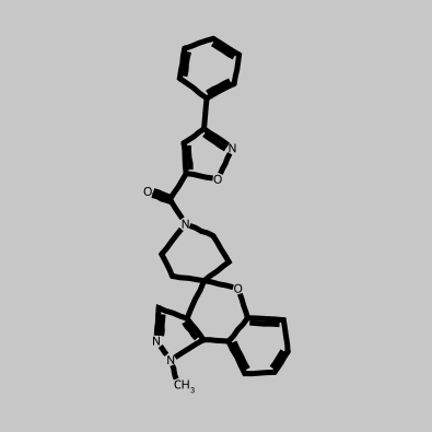 Cn1ncc2c1-c1ccccc1OC21CCN(C(=O)c2cc(-c3ccccc3)no2)CC1